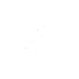 O=C1Nc2c(Cl)cc3cc(C(=O)N4CCOCC4)oc3c2C2(CCCCC2)N1